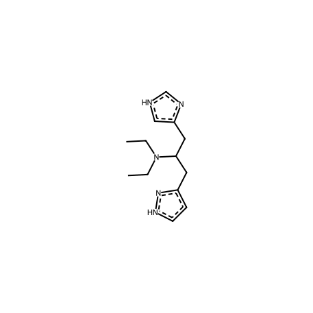 CCN(CC)C(Cc1c[nH]cn1)Cc1cc[nH]n1